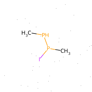 CPP(C)I